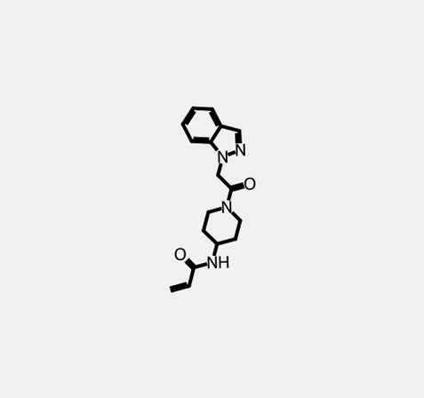 C=CC(=O)NC1CCN(C(=O)Cn2ncc3ccccc32)CC1